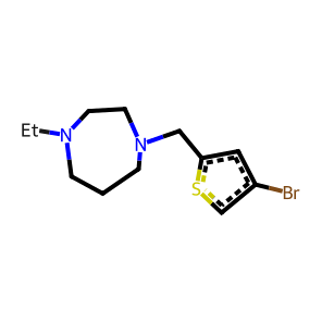 CCN1CCCN(Cc2cc(Br)cs2)CC1